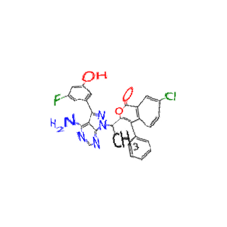 CC(c1oc(=O)c2cc(Cl)ccc2c1-c1ccccc1)n1nc(-c2cc(O)cc(F)c2)c2c(N)ncnc21